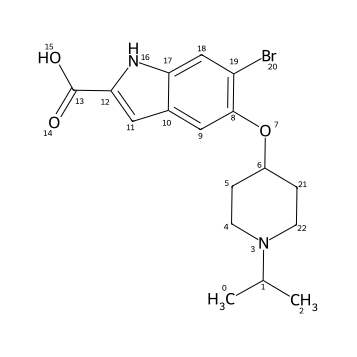 CC(C)N1CCC(Oc2cc3cc(C(=O)O)[nH]c3cc2Br)CC1